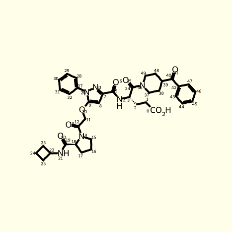 O=C(O)CC[C@H](NC(=O)c1cc(OCC(=O)N2CCC[C@H]2C(=O)NC2CCC2)n(-c2ccccc2)n1)C(=O)N1CCC(C(=O)c2ccccc2)CC1